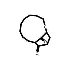 O=C1CCC2CCCCCCCCCC1C2=O